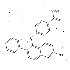 C=C(C(=O)O)c1ccc(Oc2c(-c3ccccc3)ccc3cc(O)ccc23)cc1